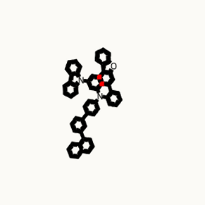 c1cc(-c2ccc(N(c3cccc(-n4c5ccccc5c5ccccc54)c3)c3ccccc3-c3ccc4c(c3)oc3ccccc34)cc2)cc(-c2cccc3ccccc23)c1